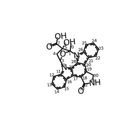 CC12OC(C[C@]1(O)C(=O)O)n1c3ccccc3c3c4c(c5c6ccccc6n2c5c31)CNC4=O